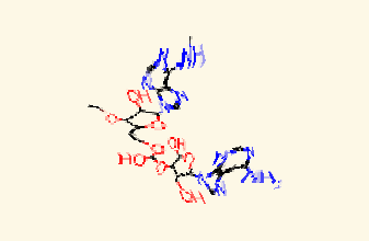 CCOC1C(COC(O)OC2C(O)OC(n3cnc4c(N)ncnc43)C2O)OC(n2cnc3c(NC)ncnc32)C1O